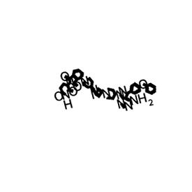 Nc1ncnc2c1c(-c1ccc(Oc3ccccc3)cc1)nn2C1CCN(c2cnn(C3CCN(c4cccc5c4C(=O)N(C4CCC(=O)NC4=O)C5=O)CC3)c2)CC1